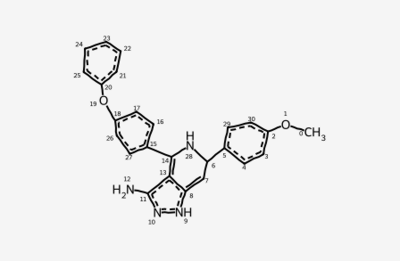 COc1ccc(C2C=c3[nH]nc(N)c3=C(c3ccc(Oc4ccccc4)cc3)N2)cc1